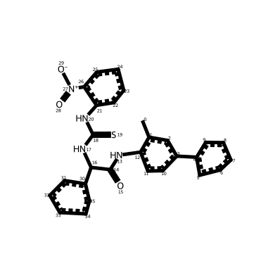 Cc1cc(-c2ccccc2)ccc1NC(=O)C(NC(=S)Nc1ccccc1[N+](=O)[O-])c1ccccc1